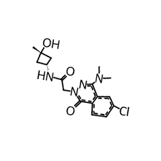 CN(C)c1nn(CC(=O)N[C@H]2C[C@@](C)(O)C2)c(=O)c2ccc(Cl)cc12